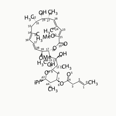 C/C=C/CC(=O)O[C@@H]1C[C@](O)([C@@H](C)[C@H](O)[C@H](C)[C@H]2OC(=O)/C(OC)=C/C(C)=C/[C@@H](C)[C@@H](O)[C@@H](C)C/C(C)=C/C=C/[C@@H]2OC)O[C@H](C(C)C)[C@H]1C